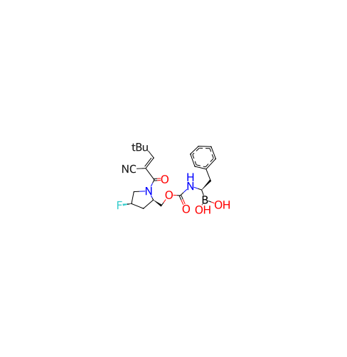 CC(C)(C)/C=C(\C#N)C(=O)N1C[C@H](F)C[C@@H]1COC(=O)N[C@@H](Cc1ccccc1)B(O)O